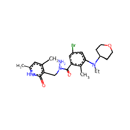 CCN(c1cc(Br)cc(C(=O)N(N)Cc2c(C)cc(C)[nH]c2=O)c1C)C1CCOCC1